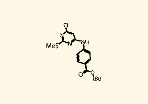 CSc1nc(Cl)cc(Nc2ccc(C(=O)OC(C)(C)C)cc2)n1